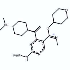 C=C(c1nc(NC(C)CCC)ncc1/C(=N\C)OC1CCOCC1)[C@H]1CC[C@H](N(C)C)CC1